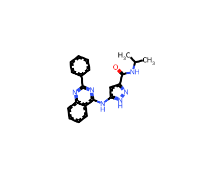 CC(C)NC(=O)c1cc(Nc2nc(-c3ccccc3)nc3ccccc23)[nH]n1